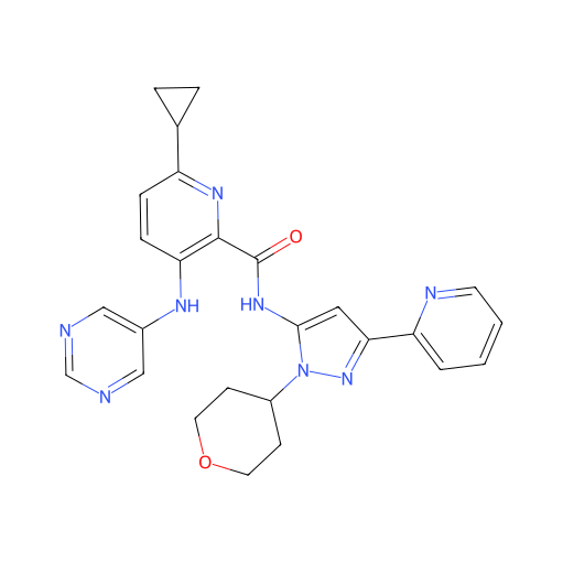 O=C(Nc1cc(-c2ccccn2)nn1C1CCOCC1)c1nc(C2CC2)ccc1Nc1cncnc1